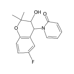 CC1(C)Oc2ccc(F)cc2C(n2ccccc2=O)C1O